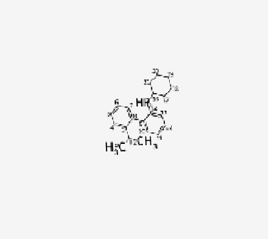 CC(C)c1ccccc1-c1ccccc1PC1CCCCC1